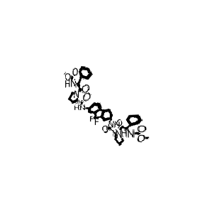 COC(=O)N[C@@H](C(=O)N1CCC[C@H]1C(=O)Nc1ccc2c(c1)C(F)(F)c1cc(NC(=O)[C@@H]3CCCN3C(=O)[C@H](NC(=O)OC)c3ccccc3)ccc1-2)c1ccccc1